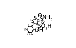 NS(=O)(=O)c1scc(-c2ccccc2O)c1S(=O)(=O)O